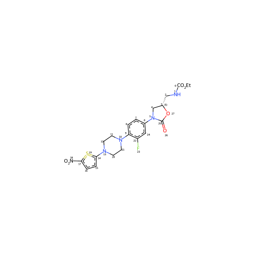 CCOC(=O)NC[C@H]1CN(c2ccc(N3CCN(c4ccc([N+](=O)[O-])s4)CC3)c(F)c2)C(=O)O1